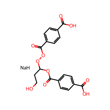 O=C(O)c1ccc(C(=O)OOC(CCO)OC(=O)c2ccc(C(=O)O)cc2)cc1.[NaH]